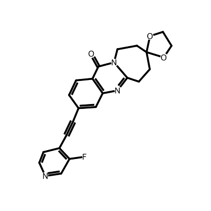 O=c1c2ccc(C#Cc3ccncc3F)cc2nc2n1CCC1(CC2)OCCO1